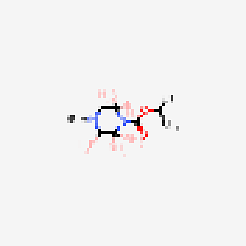 BC1N(C(C)(C)C)CC(B)(B)N(C(=O)OC(C(F)(F)F)C(F)(F)F)C1(B)B